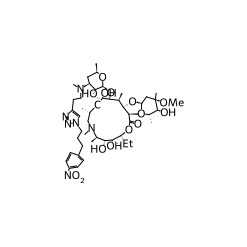 CC[C@H]1OC(=O)[C@H](C)[C@@H](O[C@H]2C[C@@](C)(OC)[C@@H](O)[C@H](C)O2)[C@H](C)[C@@H](O[C@@H]2O[C@H](C)C[C@H](N(C)CCc3cn(CCCc4ccc([N+](=O)[O-])cc4)nn3)[C@H]2O)[C@](C)(O)C[C@@H](C)CN(C)[C@H](C)[C@@H](O)[C@]1(C)O